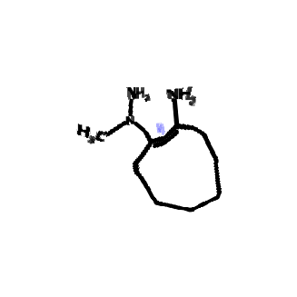 CN(N)/C1=C(\N)CCCCCC1